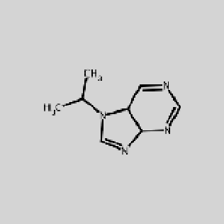 CC(C)N1C=NC2N=CN=CC21